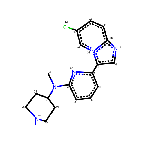 CN(c1cccc(-c2cnc3ccc(Cl)cn23)n1)C1CCNCC1